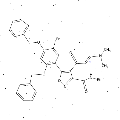 CCNC(=O)c1noc(-c2cc(C(C)C)c(OCc3ccccc3)cc2OCc2ccccc2)c1C(=O)/C=C/N(C)C